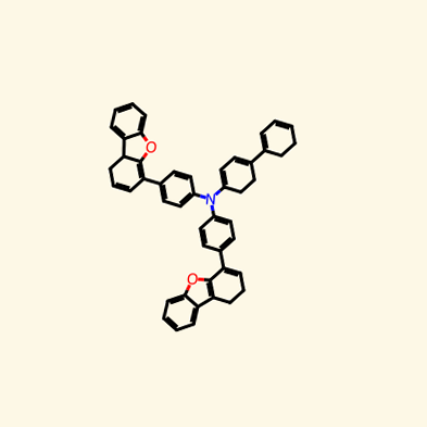 C1=CCCC(C2=CC=C(N(c3ccc(C4=CCCc5c4oc4ccccc54)cc3)c3ccc(C4=C5Oc6ccccc6C5CC=C4)cc3)CC2)=C1